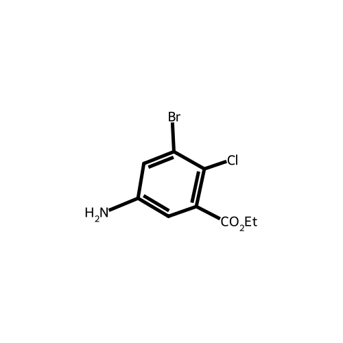 CCOC(=O)c1cc(N)cc(Br)c1Cl